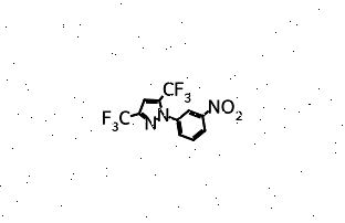 O=[N+]([O-])c1cccc(-n2nc(C(F)(F)F)cc2C(F)(F)F)c1